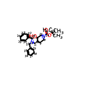 CC(C)(C)OC(=O)N1CC[C@@H](CN(Cc2ccccc2)Cc2ccccc2)C(O)C1